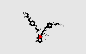 C[C@@H]1CC[C@@]23CCC(=O)[C@H]2[C@]1(C)[C@H](OC(=O)CSC1CCC(CNC(=O)CN)CC1)C[C@](C)(CNCc1ccc(OCCN)cc1)[C@@H](O)[C@@H]3C